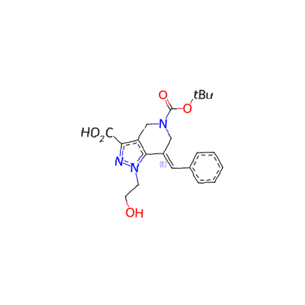 CC(C)(C)OC(=O)N1C/C(=C\c2ccccc2)c2c(c(C(=O)O)nn2CCO)C1